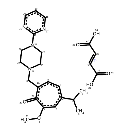 COc1cc(C(C)C)ccc(CN2CCN(c3ncccn3)CC2)c1=O.O=C(O)/C=C/C(=O)O